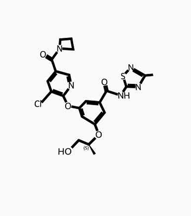 Cc1nsc(NC(=O)c2cc(Oc3ncc(C(=O)N4CCC4)cc3Cl)cc(O[C@@H](C)CO)c2)n1